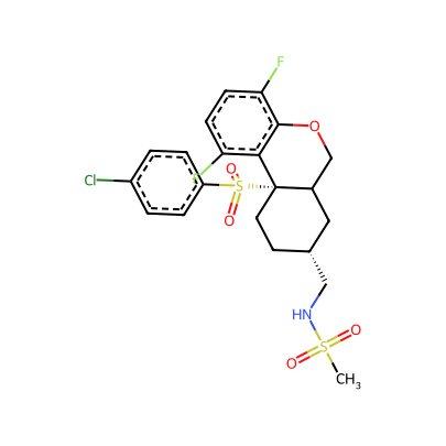 CS(=O)(=O)NC[C@@H]1CC[C@@]2(S(=O)(=O)c3ccc(Cl)cc3)c3c(F)ccc(F)c3OCC2C1